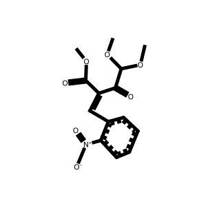 COC(=O)/C(=C/c1ccccc1[N+](=O)[O-])C(=O)C(OC)OC